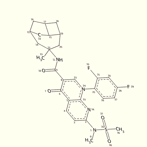 CN(c1ccc2c(=O)c(C(=O)NC3(C)CC4CC5CC(C3)C5C4)cn(-c3ccc(F)cc3F)c2n1)S(C)(=O)=O